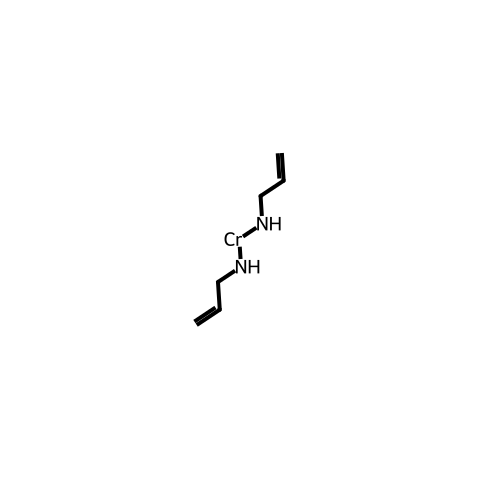 C=CC[NH][Cr][NH]CC=C